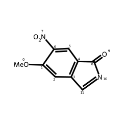 COc1cc2c(cc1[N+](=O)[O-])C(=O)N=C2